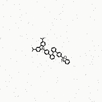 CC(C)c1ccc2c(c1)c1cc(C(C)C)ccc1n2-c1ccc(-c2ccccc2-c2ccccc2-c2ccc(-c3nc4ccccc4o3)cc2)cc1